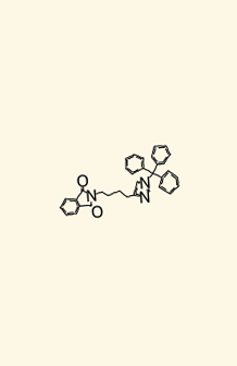 O=C1c2ccccc2C(=O)N1CCCCc1cn(C(c2ccccc2)(c2ccccc2)c2ccccc2)cn1